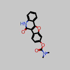 CN(C)C(=O)Oc1ccc2c(c1)oc1c3ccccc3[nH]c(=O)c21